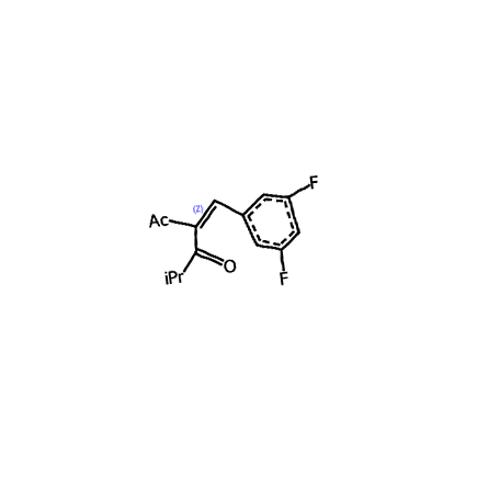 CC(=O)/C(=C/c1cc(F)cc(F)c1)C(=O)C(C)C